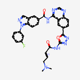 CN(C)C/C=C/C(=O)Nc1nnc(-c2ccc3ncnc(NC(=O)c4ccc5c(cnn5-c5cccc(F)c5)c4)c3c2)o1